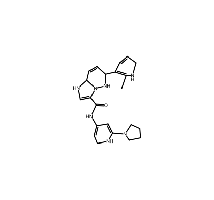 CC1=C(C2C=CC3NC=C(C(=O)NC4=CCNC(N5CCCC5)=C4)N3N2)C=CCN1